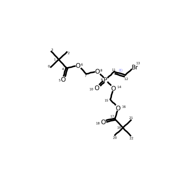 CC(C)(C)C(=O)OCOP(=O)(/C=C/Br)OCOC(=O)C(C)(C)C